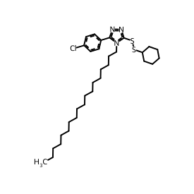 CCCCCCCCCCCCCCCCCCn1c(SSC2CCCCC2)nnc1-c1ccc(Cl)cc1